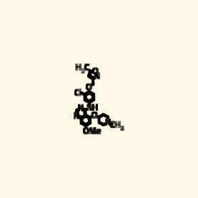 COc1cc(OC2CCN(C)CC2)c2c(Nc3ccc(OCc4cc(C)on4)c(Cl)c3)ncnc2c1